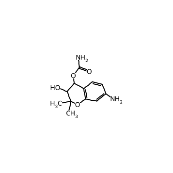 CC1(C)Oc2cc(N)ccc2C(OC(N)=O)C1O